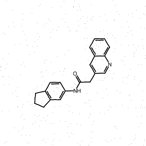 O=C(Cc1cnc2ccccc2c1)Nc1ccc2c(c1)CCC2